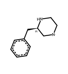 c1ccc(C[C@@H]2C[N]CCN2)cc1